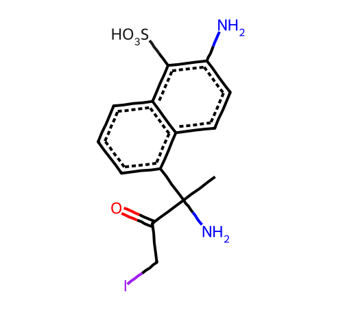 CC(N)(C(=O)CI)c1cccc2c(S(=O)(=O)O)c(N)ccc12